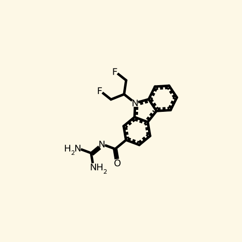 NC(N)=NC(=O)c1ccc2c3ccccc3n(C(CF)CF)c2c1